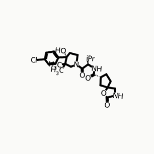 CC(C)[C@@H](NC(=O)[C@@H]1CCC2(CNC(=O)O2)C1)C(=O)N1CC[C@](O)(c2ccc(Cl)cc2)C(C)(C)C1